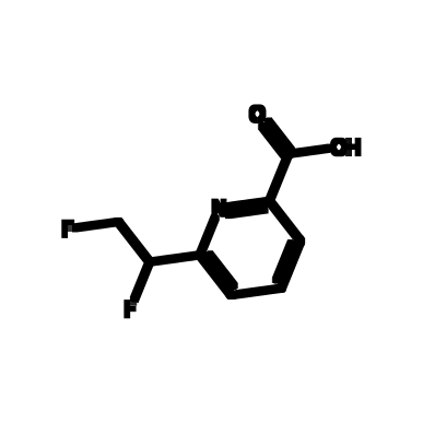 O=C(O)c1cccc(C(F)CF)n1